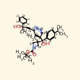 CC(C)c1ccc(C(O)(c2cnnc(C#CC(C)(O)c3ccccc3)c2)C2(C)CN(C(=O)OC(C)(C)C)C2)cc1